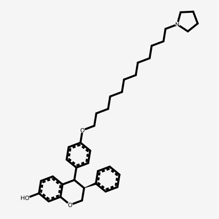 Oc1ccc2c(c1)OC[C@H](c1ccccc1)C2c1ccc(OCCCCCCCCCCCCN2CCCC2)cc1